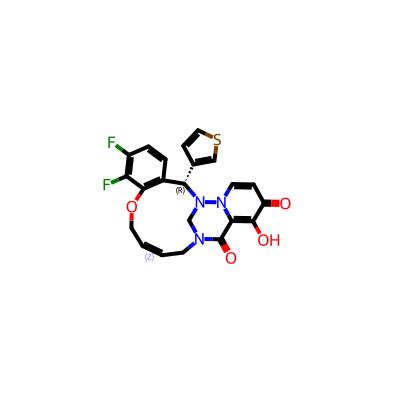 O=C1c2c(O)c(=O)ccn2N2CN1C/C=C\COc1c(ccc(F)c1F)[C@@H]2c1ccsc1